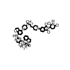 CN(CCC1CCN(c2ccc3c(c2)C(=O)N(C2CCC(=O)NC2=O)C3=O)CC1)C1CCN(c2ccc(Nc3ncc(Cl)c(Nc4cccc5c4N(S(C)(=O)=O)CC5)n3)c3c2CCO3)CC1